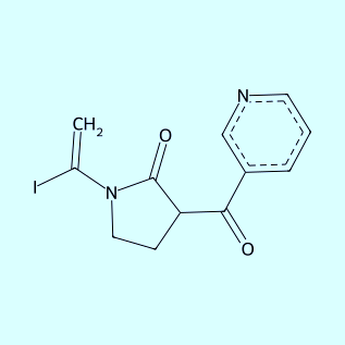 C=C(I)N1CCC(C(=O)c2cccnc2)C1=O